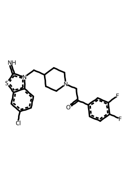 N=c1sc2cc(Cl)ccc2n1CC1CCN(CC(=O)c2ccc(F)c(F)c2)CC1